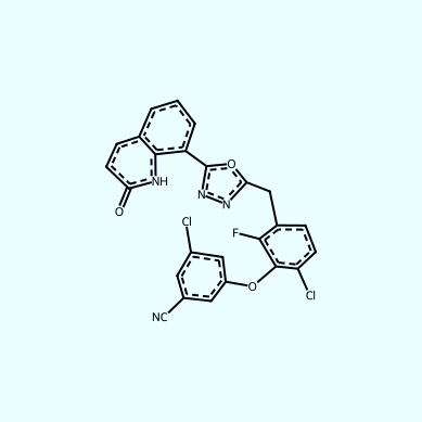 N#Cc1cc(Cl)cc(Oc2c(Cl)ccc(Cc3nnc(-c4cccc5ccc(=O)[nH]c45)o3)c2F)c1